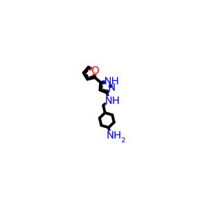 NC1CCC(CNc2cc(-c3ccco3)[nH]n2)CC1